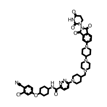 N#Cc1ccc(OC2CCC(NC(=O)c3ccc(N4CCC(CN5CCN(C6CCN(c7ccc8c(c7)C(=O)N(N7CCC(=O)NC7=O)C8=O)CC6)CC5)CC4)nn3)CC2)cc1Cl